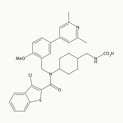 COc1ccc(-c2cc(C)nc(C)c2)cc1CN(C(=O)c1sc2ccccc2c1Cl)C1CCC(CNC(=O)O)CC1